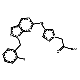 CNC(=O)Cn1cc(Nc2ncc3cnn(Cc4ccccc4F)c3n2)cn1